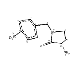 N[C@H]1CCN(Cc2ccc([N+](=O)[O-])cc2)C1=O